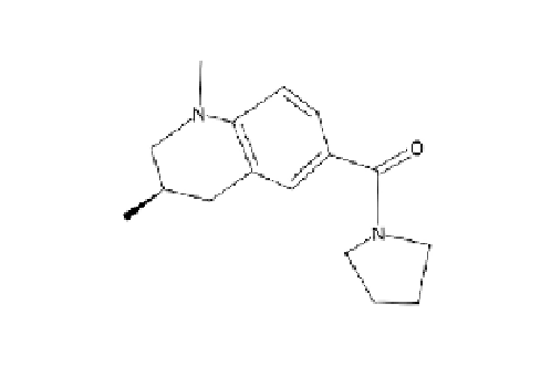 C[C@@H]1Cc2cc(C(=O)N3CCCC3)ccc2N(C)C1